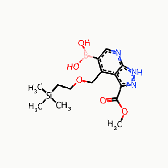 COC(=O)c1n[nH]c2ncc(B(O)O)c(COCC[Si](C)(C)C)c12